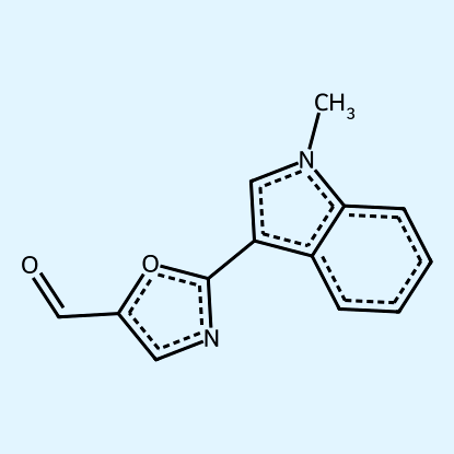 Cn1cc(-c2ncc(C=O)o2)c2ccccc21